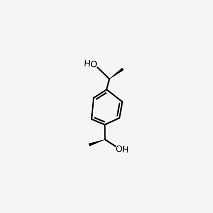 C[C@H](O)c1ccc([C@H](C)O)cc1